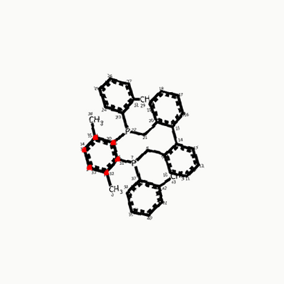 Cc1ccccc1P(Cc1ccccc1-c1ccccc1CP(c1ccccc1C)c1ccccc1C)c1ccccc1C